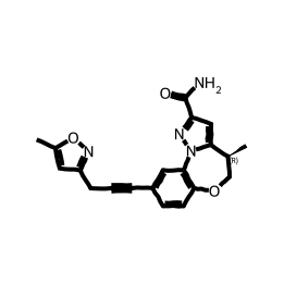 Cc1cc(CC#Cc2ccc3c(c2)-n2nc(C(N)=O)cc2[C@@H](C)CO3)no1